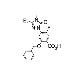 CCc1nn(-c2cc(OCc3ccccc3)c(C(=O)O)cc2F)c(=O)n1C